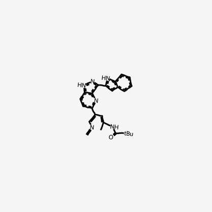 C=N/C=C(\C=C(/C)NC(=O)C(C)(C)C)c1ccc2[nH]nc(-c3cc4ccccc4[nH]3)c2n1